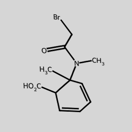 CN(C(=O)CBr)C1(C)C=CC=CC1C(=O)O